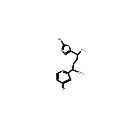 CC(C)c1ccnc(C(C)CCC(C)c2cnc(C(C)C)o2)c1